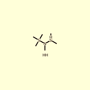 CN([SiH](C)C)[Si](C)(C)C.[HH]